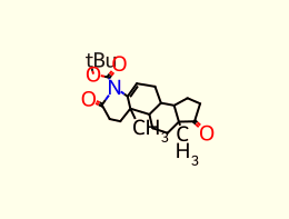 CC(C)(C)OC(=O)N1C(=O)CCC2(C)C1=CCC1C3CCC(=O)C3(C)CCC12